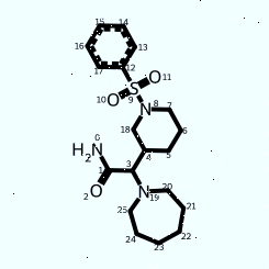 NC(=O)C(C1CCCN(S(=O)(=O)c2ccccc2)C1)N1CCCCCC1